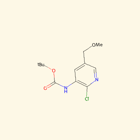 COCc1cnc(Cl)c(NC(=O)OC(C)(C)C)c1